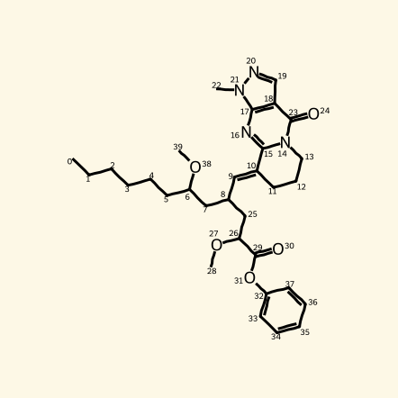 CCCCCCC(CC(/C=C1\CCCn2c1nc1c(cnn1C)c2=O)CC(OC)C(=O)Oc1ccccc1)OC